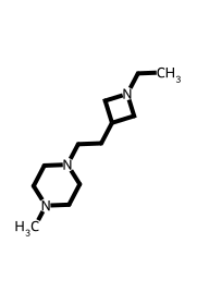 CCN1CC(CCN2CCN(C)CC2)C1